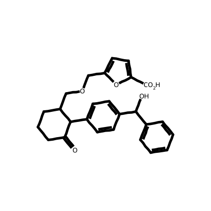 O=C(O)c1ccc(COCC2CCCC(=O)C2c2ccc(C(O)c3ccccc3)cc2)o1